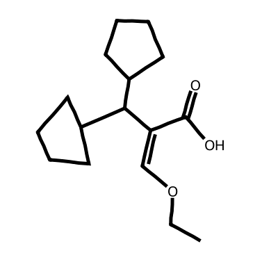 CCOC=C(C(=O)O)C(C1CCCC1)C1CCCC1